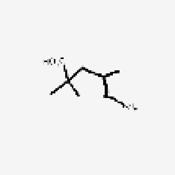 CC(CN)CC(C)(C)C(=O)O